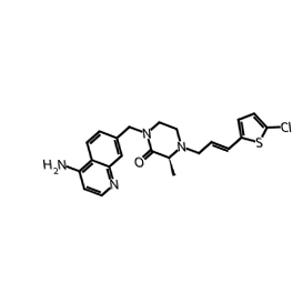 C[C@H]1C(=O)N(Cc2ccc3c(N)ccnc3c2)CCN1C/C=C/c1ccc(Cl)s1